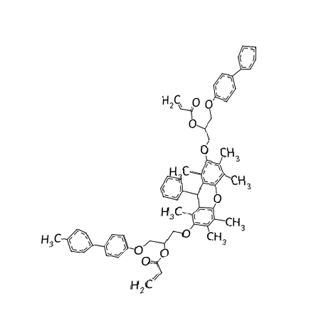 C=CC(=O)OC(COc1ccc(-c2ccccc2)cc1)COc1c(C)c(C)c2c(c1C)C(c1ccccc1)c1c(C)c(OCC(COc3ccc(-c4ccc(C)cc4)cc3)OC(=O)C=C)c(C)c(C)c1O2